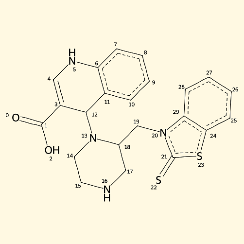 O=C(O)C1=CNc2ccccc2C1N1CCNCC1Cn1c(=S)sc2ccccc21